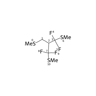 CSCC(C(F)(F)SC)C(F)(F)SC